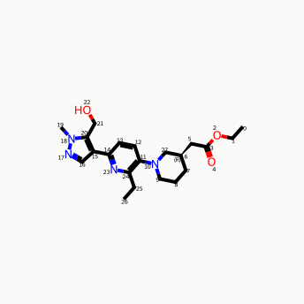 CCOC(=O)C[C@H]1CCCN(c2ccc(-c3cnn(C)c3CO)nc2CC)C1